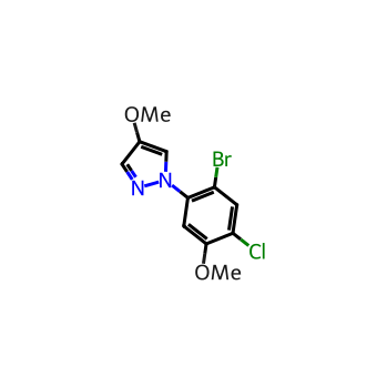 COc1cnn(-c2cc(OC)c(Cl)cc2Br)c1